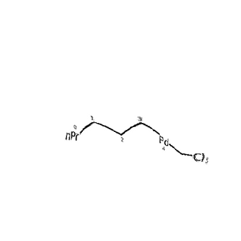 CCCCC[CH2][Pd][Cl]